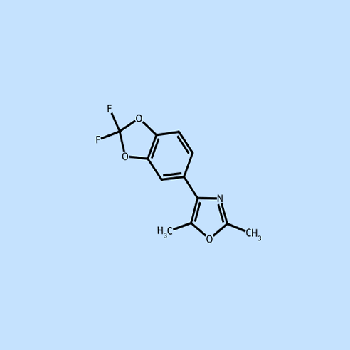 Cc1nc(-c2ccc3c(c2)OC(F)(F)O3)c(C)o1